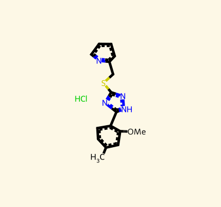 COc1cc(C)ccc1-c1nc(SCc2ccccn2)n[nH]1.Cl